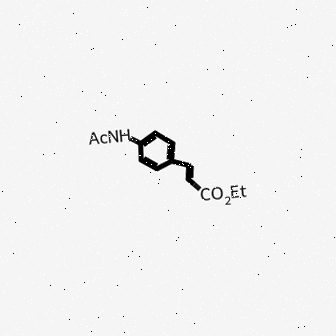 CCOC(=O)/C=C/c1ccc(NC(C)=O)cc1